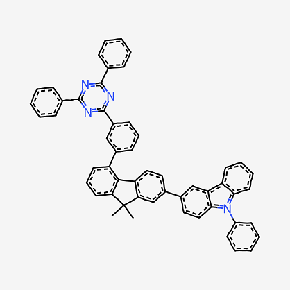 CC1(C)c2cc(-c3ccc4c(c3)c3ccccc3n4-c3ccccc3)ccc2-c2c(-c3cccc(-c4nc(-c5ccccc5)nc(-c5ccccc5)n4)c3)cccc21